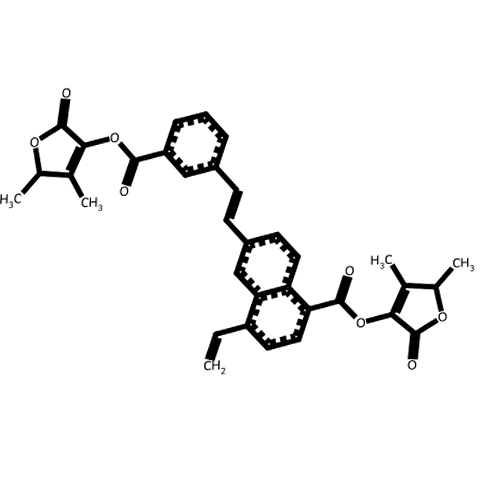 C=Cc1ccc(C(=O)OC2=C(C)C(C)OC2=O)c2ccc(/C=C/c3cccc(C(=O)OC4=C(C)C(C)OC4=O)c3)cc12